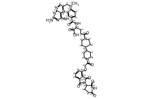 CN(Cc1cnc2nc(N)nc(N)c2n1)c1ccc(C(=O)NC(CCC(=O)N2CCC(C3CCN(C(=O)COc4cccc5c4C(=O)N(C4CCC(=O)NC4=O)C5=O)CC3)CC2)C(=O)O)cc1